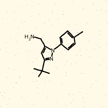 Cc1ccc(-n2nc(C(C)(C)C)cc2CN)cc1